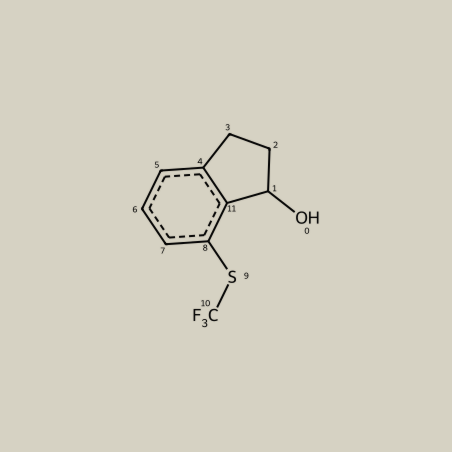 OC1CCc2cccc(SC(F)(F)F)c21